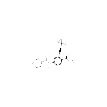 COC(=O)c1ccc(NC(O)C2CCNCC2)cc1C#CC1(N)CC1